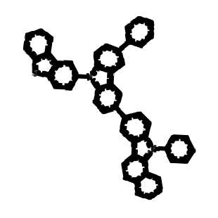 c1ccc(-c2ccc3c(c2)c2cc(-c4ccc5c(c4)c4ccc6ccccc6c4n5-c4ccccc4)ccc2n3-c2ccc3sc4ccccc4c3c2)cc1